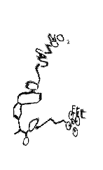 CCOP(=O)(OCC)OCCCCOC(=O)C(C)c1ccc2cc(OCCSSCCO[N+](=O)[O-])ccc2c1